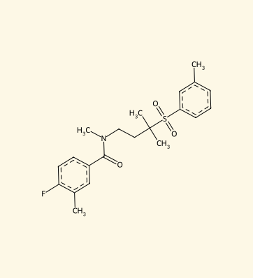 Cc1cccc(S(=O)(=O)C(C)(C)CCN(C)C(=O)c2ccc(F)c(C)c2)c1